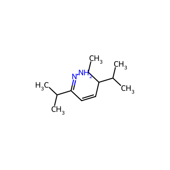 CCC(/C=C\C(=N/N)C(C)C)C(C)C